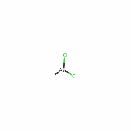 C[As](Cl)Cl